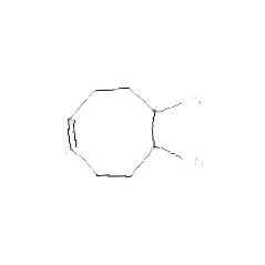 N#CC1CCC=CCCC1C#N